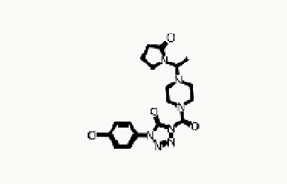 CC(N1CCN(C(=O)n2nnn(-c3ccc(Cl)cc3)c2=O)CC1)N1CCCC1=O